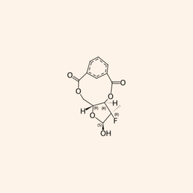 C[C@@]1(F)[C@@H]2OC(=O)c3cccc(c3)C(=O)OC[C@H]2O[C@@H]1O